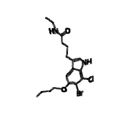 CCCCOc1cc2c(CCCC(=O)NCC)c[nH]c2c(Cl)c1Br